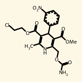 COC(=O)C1=C(COC(N)=O)NC(C)=C(C(=O)OCCCl)C1c1cccc([N+](=O)[O-])c1